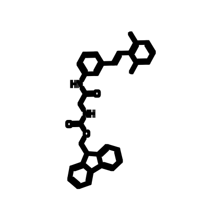 Cc1cccc(C)c1/C=C/c1cccc(NC(=O)CNC(=O)OCC2c3ccccc3-c3ccccc32)c1